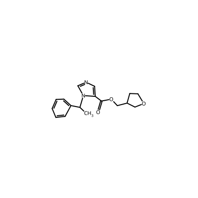 CC(c1ccccc1)n1cncc1C(=O)OCC1CCOC1